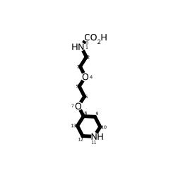 O=C(O)NCCOCCOC1CCNCC1